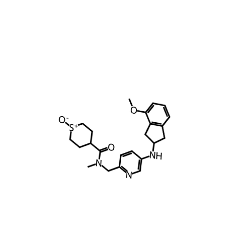 COc1cccc2c1CC(Nc1ccc(CN(C)C(=O)C3CC[S+]([O-])CC3)nc1)C2